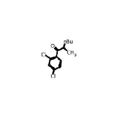 CCCCC(C)C(=O)c1ccc(Cl)cc1Cl